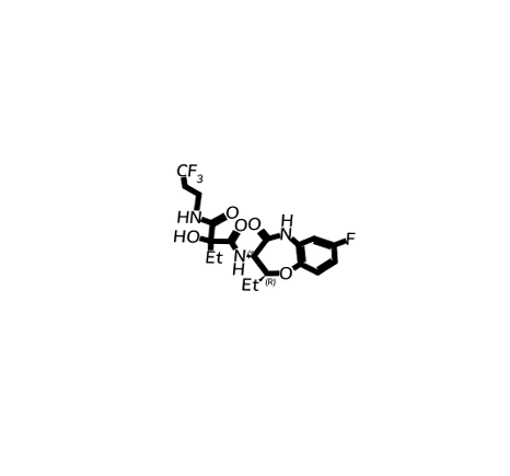 CC[C@H]1Oc2ccc(F)cc2NC(=O)[C@H]1NC(=O)C(O)(CC)C(=O)NCCC(F)(F)F